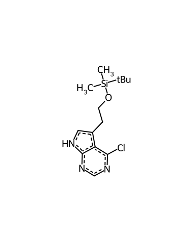 CC(C)(C)[Si](C)(C)OCCc1c[nH]c2ncnc(Cl)c12